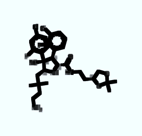 CC(C)(CCN)C[C@@H]1N[C@@H](C(=O)NCC[C@H]2COC(C)(C)O2)[C@H](c2cccc(Cl)c2F)[C@@]1(C#N)c1ccc(Cl)cc1F